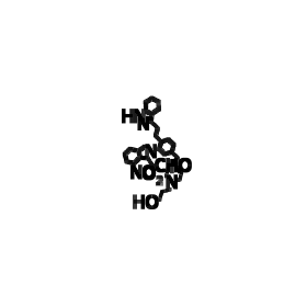 O=CC(=O)c1c2c([N+](=O)[O-])cccc2cn1-c1cc(CN2CCN(CCCO)CC2)ccc1C=Cc1n[nH]c2ccccc12